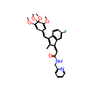 COC1=CC(=CC2=C(C)C(=CC(=O)NCc3ccccn3)c3cc(F)ccc32)C=C(OC)C1(OC)OC